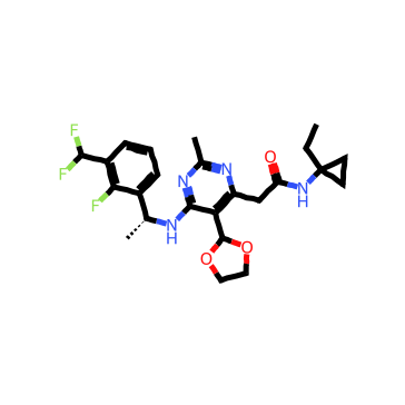 CCC1(NC(=O)Cc2nc(C)nc(N[C@H](C)c3cccc(C(F)F)c3F)c2C2OCCO2)CC1